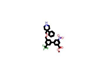 COC(=O)c1cc(-c2cc(COCC3(c4ccccc4)CCNCC3)cc(C(F)(F)F)c2)cc([N+](=O)[O-])c1